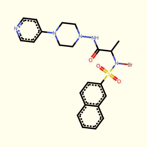 CC(C(=O)NN1CCN(c2ccncc2)CC1)N(Br)S(=O)(=O)c1ccc2ccccc2c1